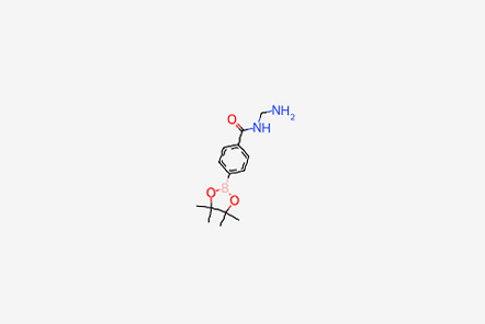 CC1(C)OB(c2ccc(C(=O)NCN)cc2)OC1(C)C